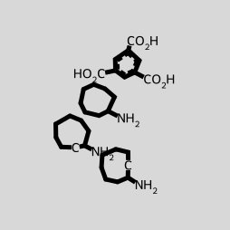 NC1CCCCCCC1.NC1CCCCCCC1.NC1CCCCCCC1.O=C(O)c1cc(C(=O)O)cc(C(=O)O)c1